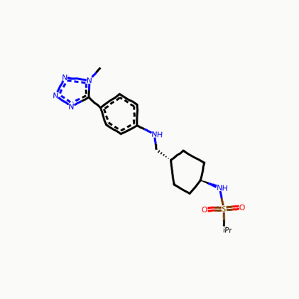 CC(C)S(=O)(=O)N[C@H]1CC[C@H](CNc2ccc(-c3nnnn3C)cc2)CC1